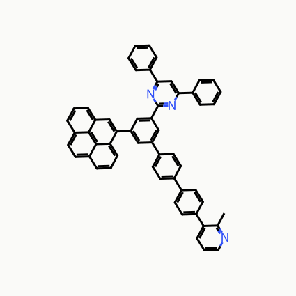 Cc1ncccc1-c1ccc(-c2ccc(-c3cc(-c4nc(-c5ccccc5)cc(-c5ccccc5)n4)cc(-c4cc5cccc6ccc7cccc4c7c65)c3)cc2)cc1